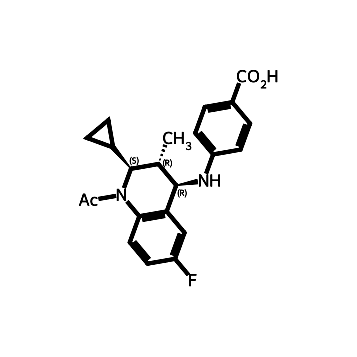 CC(=O)N1c2ccc(F)cc2[C@H](Nc2ccc(C(=O)O)cc2)[C@@H](C)[C@@H]1C1CC1